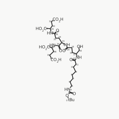 CC(C)(C)OC(=O)NCCCCCCCC(=O)NC(CO)CCC(=O)NC(CCC(=O)NC(CCC(=O)O)C(=O)O)C(=O)NC(CCC(=O)O)C(=O)O